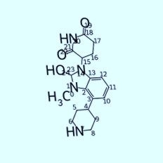 CN1c2c(C3CCNCC3)cccc2N(C2CCC(=O)NC2=O)C1O